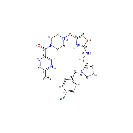 Cc1cnc(C(=O)N2CCN(Cc3csc(NC[C@@H]4CCCN4Cc4ccc(F)cc4)n3)CC2)cn1